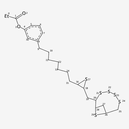 CCC(=O)Oc1cccc(CCCCCCCC2SC2CC2SSSSCC3CC2S3)c1